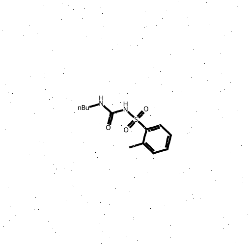 CCCCNC(=O)NS(=O)(=O)c1ccccc1C